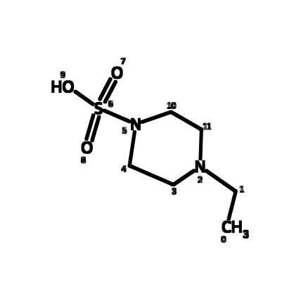 CCN1CCN(S(=O)(=O)O)CC1